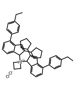 CCc1ccc(-c2cccc3c2C=C(C2CCCC2)[CH]3[Hf+2]2([CH]3C(C4CCCC4)=Cc4c(-c5ccc(CC)cc5)cccc43)[CH2]C[CH2]2)cc1.[Cl-].[Cl-]